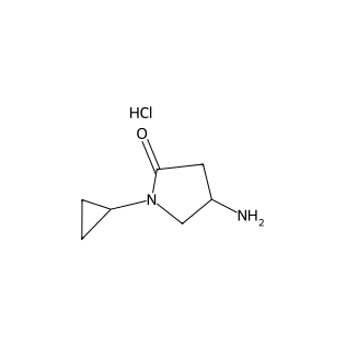 Cl.NC1CC(=O)N(C2CC2)C1